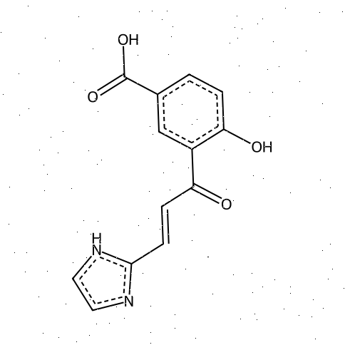 O=C(O)c1ccc(O)c(C(=O)C=Cc2ncc[nH]2)c1